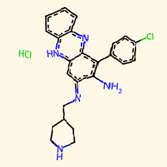 Cl.Nc1c(-c2ccc(Cl)cc2)c2nc3ccccc3[nH]c-2cc1=NCC1CCNCC1